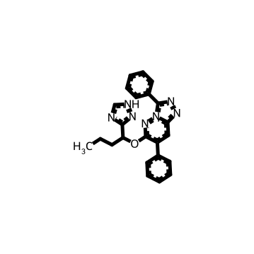 CCCC(Oc1nn2c(-c3ccccc3)nnc2cc1-c1ccccc1)c1nc[nH]n1